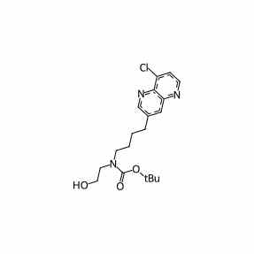 CC(C)(C)OC(=O)N(CCO)CCCCc1cnc2c(Cl)ccnc2c1